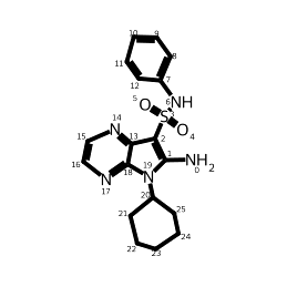 Nc1c(S(=O)(=O)Nc2ccccc2)c2nccnc2n1C1CCCCC1